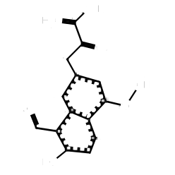 C=C(C)C(=O)Cc1cc(OC)c2ccc(C)c(C=O)c2c1